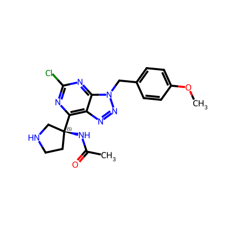 COc1ccc(Cn2nnc3c([C@]4(NC(C)=O)CCNC4)nc(Cl)nc32)cc1